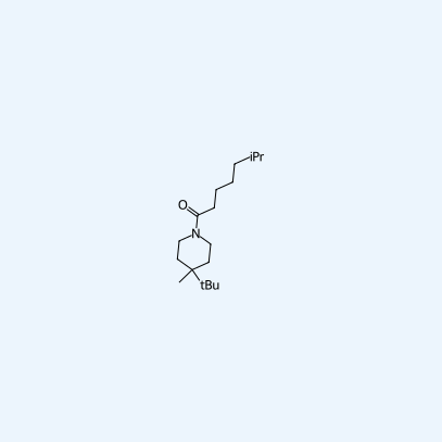 CC(C)CCCCC(=O)N1CCC(C)(C(C)(C)C)CC1